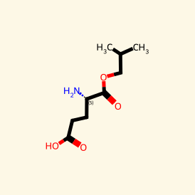 CC(C)COC(=O)[C@@H](N)CCC(=O)O